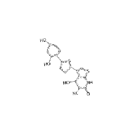 N#Cc1c(O)c2c(-c3ccc(-c4ccc(O)cc4O)s3)csc2[nH]c1=O